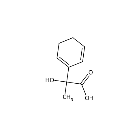 CC(O)(C(=O)O)C1=CCCC=C1